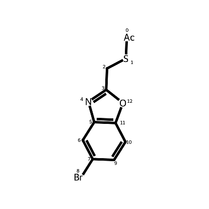 CC(=O)SCc1nc2cc(Br)ccc2o1